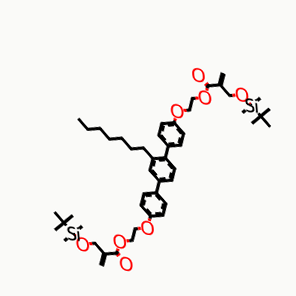 C=C(CO[Si](C)(C)C(C)(C)C)C(=O)OCCOc1ccc(-c2ccc(-c3ccc(OCCOC(=O)C(=C)CO[Si](C)(C)C(C)(C)C)cc3)c(CCCCCCC)c2)cc1